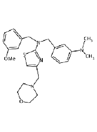 COc1cccc(CN(Cc2cccc(N(C)C)c2)c2nc(CN3CCOCC3)cs2)c1